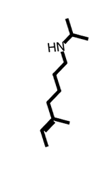 C/C=C(\C)CCCCNC(C)C